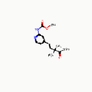 COC(=O)C(C)(C)CCc1ccnc(NC(=O)OC(C)(C)C)c1